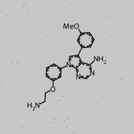 COc1cccc(-c2cn(-c3cccc(OCCN)c3)c3ncnc(N)c23)c1